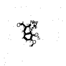 COc1ccc2cc(C=O)c3nnnn3c2c1OC